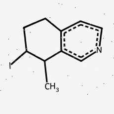 CC1c2cnccc2CCC1I